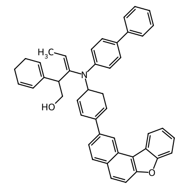 C/C=C(\C(CO)C1=CCCC=C1)N(c1ccc(-c2ccccc2)cc1)C1C=CC(c2ccc3ccc4oc5ccccc5c4c3c2)=CC1